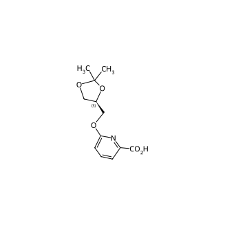 CC1(C)OC[C@H](COc2cccc(C(=O)O)n2)O1